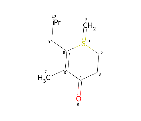 C=S1CCC(=O)C(C)=C1CC(C)C